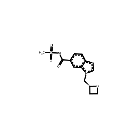 CS(=O)(=O)NC(=O)c1ccc2ncn(C[C@@H]3CCO3)c2c1